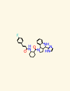 O=C(/C=C/c1ccc(F)cc1)NC1CCCCC1C(=O)N1CCC2C(c3ncc[nH]3)Nc3ccccc3C21